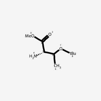 COC(=O)[C@@H](N)C(C)OC(C)(C)C